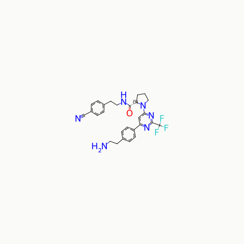 N#Cc1ccc(CCNC(=O)[C@@H]2CCCN2c2cc(-c3ccc(CCN)cc3)nc(C(F)(F)F)n2)cc1